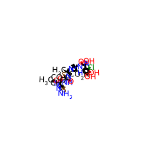 C[C@@H]1S[C@@H]2[C@H](NC(=O)/C(=N\OC(C)(C)C(=O)O)c3csc(N)n3)C(=O)N2C(C(=O)O)=C1C[N+]12CCC(CNC(=O)/C(=N\O)c3ccc(O)c(O)c3Cl)(CC1)C2